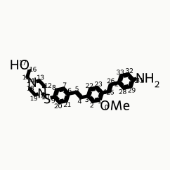 COc1cc(/C=C/c2ccc(SN3CCN(CCO)CC3)cc2)ccc1/C=C/c1ccc(N)cc1